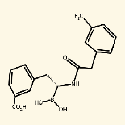 O=C(Cc1cccc(C(F)(F)F)c1)N[C@@H](Cc1cccc(C(=O)O)c1)B(O)O